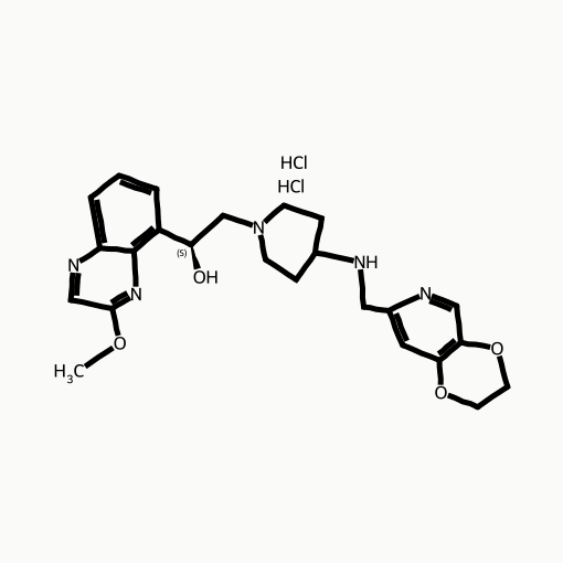 COc1cnc2cccc([C@H](O)CN3CCC(NCc4cc5c(cn4)OCCO5)CC3)c2n1.Cl.Cl